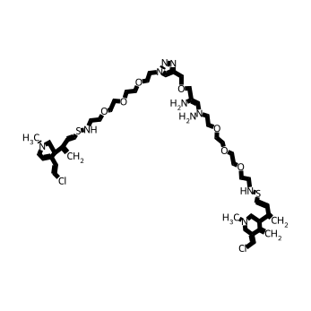 C=C(/C=C/SNCCOCCOCCOCCN(N)/C=C(\N)COCc1cn(CCOCCOCCOCCNS/C=C/C(=C)C2CN(C)CC=C2/C=C/Cl)nn1)C1CN(C)C/C(=C\Cl)C1=C